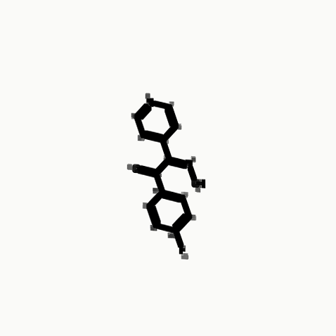 O=C(C(=NO)c1ccncc1)c1ccc(F)cc1